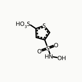 O=S(=O)(O)c1cc(S(=O)(=O)NO)cs1